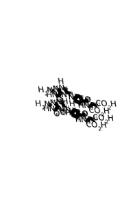 Nc1nc2c(c(=O)[nH]1)N(C=O)[C@@H](CNc1ccc(C(=O)NC(CCC(=O)O)C(=O)O)cc1)CN2.Nc1nc2c(c(=O)[nH]1)NC(CNc1ccc(C(=O)NC(CCC(=O)O)C(=O)O)cc1)CN2